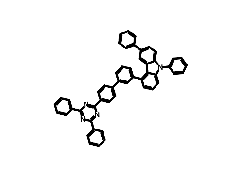 c1ccc(-c2ccc3c(c2)c2c(-c4cccc(-c5ccc(-c6nc(-c7ccccc7)nc(-c7ccccc7)n6)cc5)c4)cccc2n3-c2ccccc2)cc1